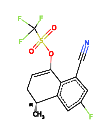 C[C@@H]1CC=C(OS(=O)(=O)C(F)(F)F)c2c(C#N)cc(F)cc21